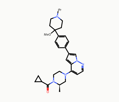 COC1(c2ccc(-c3cc4c(N5CCN(C(=O)C6CC6)[C@H](C)C5)ccnn4c3)cc2)CCN(C(C)C)CC1